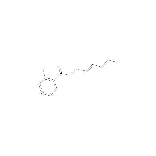 C/C=C/C=C/COC(=O)c1ccccc1O